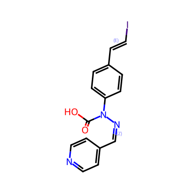 O=C(O)N(/N=C\c1ccncc1)c1ccc(/C=C/I)cc1